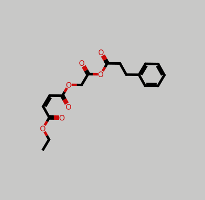 CCOC(=O)/C=C\C(=O)OCC(=O)OC(=O)CCc1ccccc1